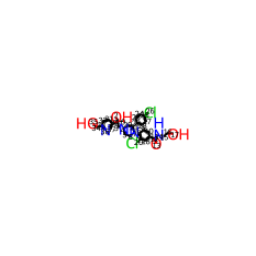 C[C@@](O)(CN1CCN(c2ccc(C(=O)NCCO)cc2Cl)[C@H](c2ccc(Cl)cc2)C1)c1ccc(CO)nc1